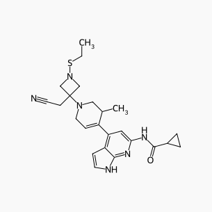 CCSN1CC(CC#N)(N2CC=C(c3cc(NC(=O)C4CC4)nc4[nH]ccc34)C(C)C2)C1